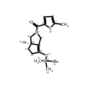 Cc1ccc(C(=O)N2CC3=C(O[Si](C)(C)C(C)(C)C)CC[C@H]3C2)s1